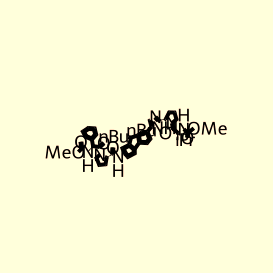 CCCCC1(CCCC)c2cc(NC(=O)[C@@H]3CCCN3C(=O)[C@H](NC(=O)OC)c3ccccc3)ccc2-c2ccc(-c3cnc([C@@H]4CCCN4C(=O)[C@@H](NC(=O)OC)C(C)C)[nH]3)cc21